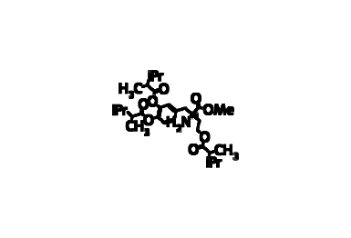 COC(=O)[C@@](N)(CCOC(=O)C(C)C(C)C)Cc1ccc(OC(=O)C(C)C(C)C)c(OC(=O)C(C)C(C)C)c1